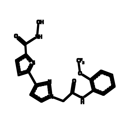 O=C(Cn1ccc(-c2ccc(C(=O)NO)s2)n1)Nc1ccccc1OC(F)(F)F